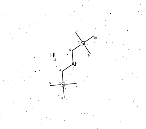 C[Si](C)(C)[CH2][Al][CH2][Si](C)(C)C.I